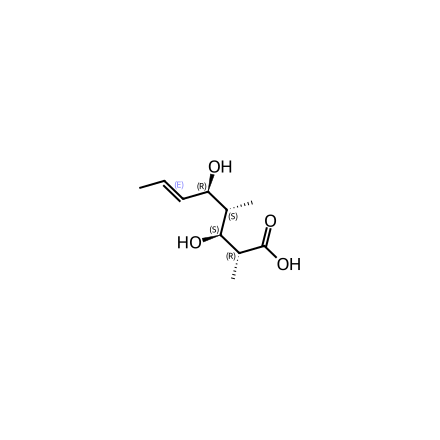 C/C=C/[C@@H](O)[C@H](C)[C@H](O)[C@@H](C)C(=O)O